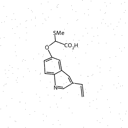 C=Cc1cnc2ccc(OC(SC)C(=O)O)cc2c1